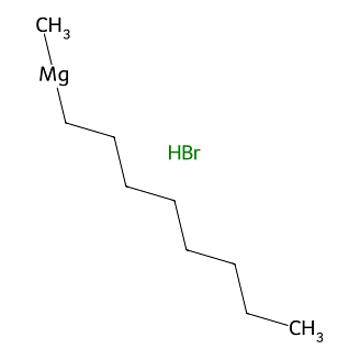 Br.CCCCCCC[CH2][Mg][CH3]